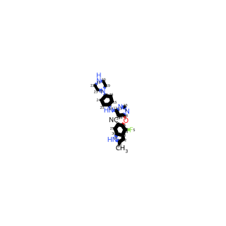 Cc1cc2c(F)c(Oc3ncnc(Nc4ccc(N5CCNCC5)cc4)c3C#N)ccc2[nH]1